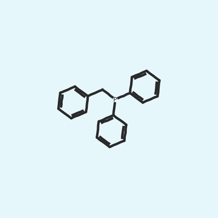 [C](c1ccccc1)P(c1ccccc1)c1ccccc1